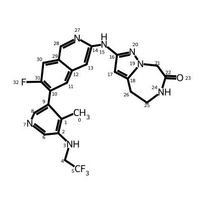 Cc1c(NCC(F)(F)F)cncc1-c1cc2cc(Nc3cc4n(n3)CC(=O)NCC4)ncc2cc1F